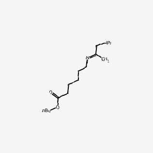 CCCCOC(=O)CCCCC/N=C(\C)CC(C)C